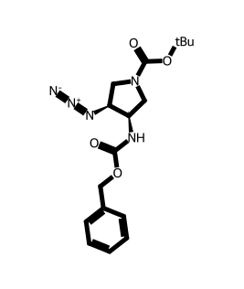 CC(C)(C)OC(=O)N1C[C@H](N=[N+]=[N-])[C@H](NC(=O)OCc2ccccc2)C1